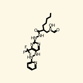 CCCCCC(CN(O)C=O)C(=O)NNc1ncc(NNc2ccccn2)c(C(F)(F)F)n1